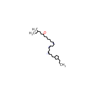 CCCC1CCC(CC/C=C\C/C=C\C/C=C\CCCCCC(=O)CCC(C)CC)C1